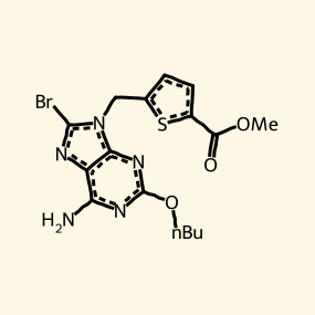 CCCCOc1nc(N)c2nc(Br)n(Cc3ccc(C(=O)OC)s3)c2n1